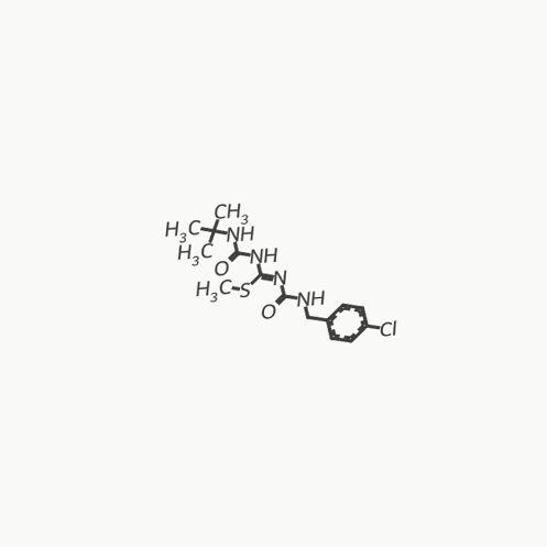 CSC(=NC(=O)NCc1ccc(Cl)cc1)NC(=O)NC(C)(C)C